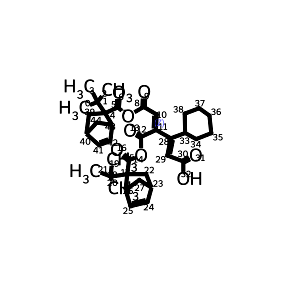 CC(C)(C)C1(C(=O)OC(=O)/C=C(\C(=O)OC(=O)C2(C(C)(C)C)CC3C=CC2C3)C(=CC(=O)O)C2CCCCC2)CC2C=CC1C2